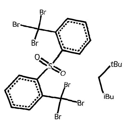 CCC(C)CC(C)(C)C.O=S(=O)(c1ccccc1C(Br)(Br)Br)c1ccccc1C(Br)(Br)Br